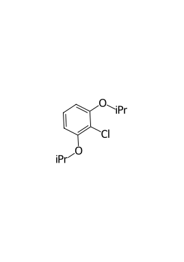 CC(C)Oc1cccc(OC(C)C)c1Cl